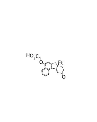 CCC12CCC(=O)C=C1c1c(cc(OCC(=O)O)c3ccccc13)C2